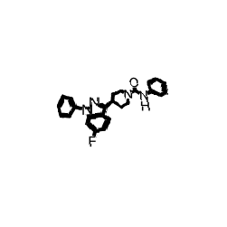 O=C(Nc1ccccc1)N1CCC(c2nn(-c3ccccc3)c3cc(F)ccc23)CC1